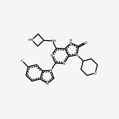 O=c1[nH]c2c(NC3CNC3)nc(-n3cnc4ccc(F)cc43)nc2n1C1CCOCC1